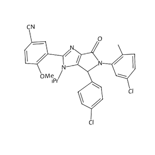 COc1ccc(C#N)cc1-c1nc2c(n1C(C)C)C(c1ccc(Cl)cc1)N(c1cc(Cl)ccc1C)C2=O